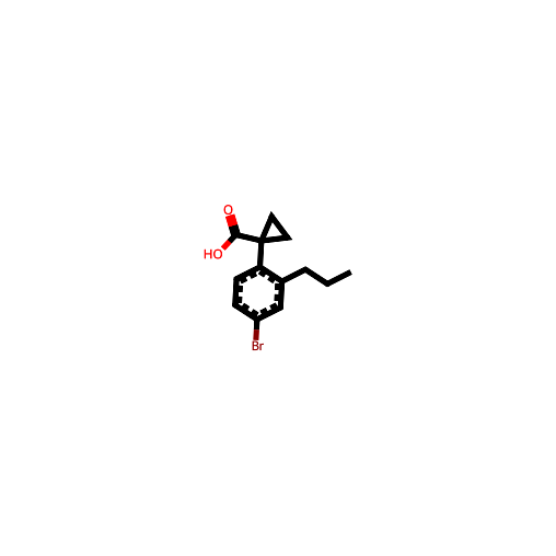 CCCc1cc(Br)ccc1C1(C(=O)O)CC1